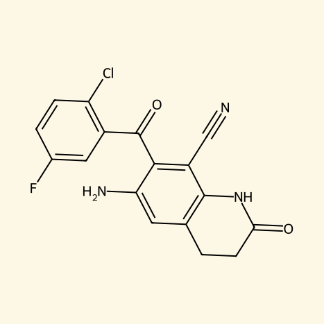 N#Cc1c2c(cc(N)c1C(=O)c1cc(F)ccc1Cl)CCC(=O)N2